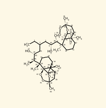 CCC(C[C@@H](O)[C@H](C)[C@]1(C)CCC[C@]2(C)CC[C@]3(C)OO[C@]21[C@H](C)O3)C[C@@H](O)[C@H](C)[C@]1(C)CCC[C@]2(C)CC[C@]3(C)OO[C@]21[C@H](C)O3